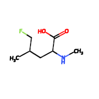 CNC(CC(C)CF)C(=O)O